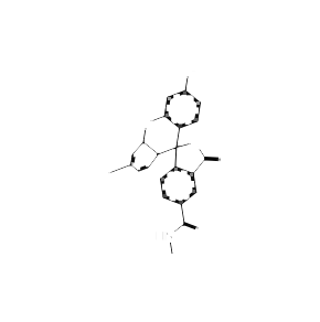 CNC(=O)c1ccc2c(c1)C(=O)OC21c2ccc(O)cc2OC2C=C(O)C=CC21